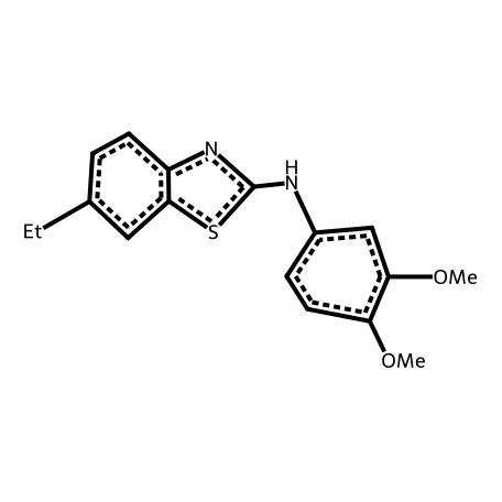 CCc1ccc2nc(Nc3ccc(OC)c(OC)c3)sc2c1